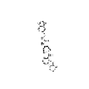 S=C(NCc1ccc2c(c1)OCO2)Nc1cnc(NC2=NC=NC3c4cccnc4SC23)nc1